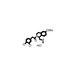 COc1ccc2c(c1)CCN(C(=O)Cc1ccc(Cl)c(Cl)c1)C2CN(C)C.Cl